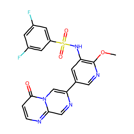 COc1ncc(-c2cn3c(=O)ccnc3cn2)cc1NS(=O)(=O)c1cc(F)cc(F)c1